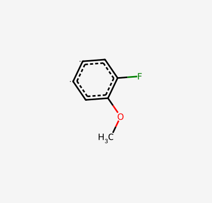 COc1c[c][c]cc1F